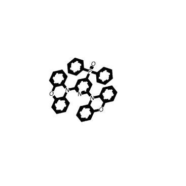 O=P(c1ccccc1)(c1ccccc1)c1cc(N2c3ccccc3Oc3ccccc32)nc(N2c3ccccc3Oc3ccccc32)c1